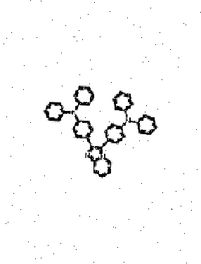 c1ccc(N(c2ccccc2)c2ccc(-c3nc4ccccn4c3-c3ccc(N(c4ccccc4)c4ccccc4)cc3)cc2)cc1